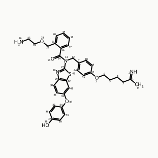 CC(=N)CCCCOc1ccc(CN(C(=O)c2ccccc2COCCN)c2nc3ccc(Oc4ccc(O)cc4)cc3s2)cc1